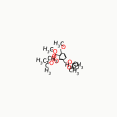 COCc1ccc(CB2OC3CC4CC(C4(C)C)[C@]3(C)O2)c(OC(=O)OC(C)(C)C)c1C(=O)OC